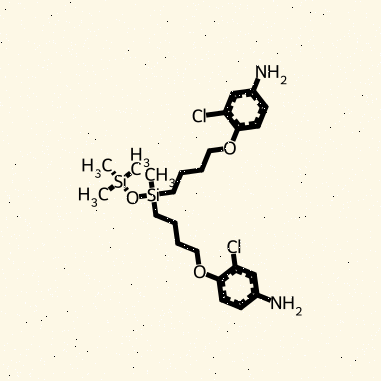 C[Si](C)(C)O[Si](C)(CCCCOc1ccc(N)cc1Cl)CCCCOc1ccc(N)cc1Cl